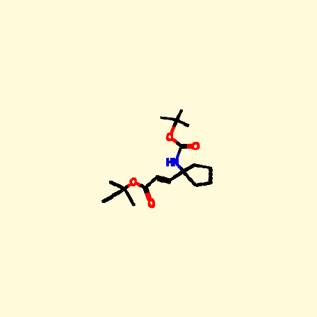 CC(C)(C)OC(=O)/C=C/C1(NC(=O)OC(C)(C)C)CCCC1